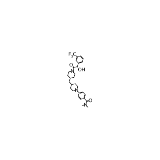 CN(C)C(=O)c1ccc(N2CCC(CC3CCN(C(=O)C(O)c4cccc(C(F)(F)F)c4)CC3)CC2)cc1